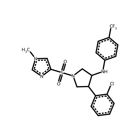 Cn1cnc(S(=O)(=O)N2CC(Nc3ccc(C(F)(F)F)cc3)C(c3ccccc3Cl)C2)c1